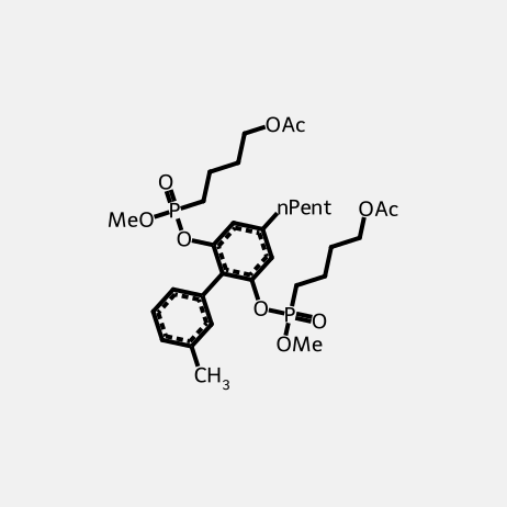 CCCCCc1cc(OP(=O)(CCCCOC(C)=O)OC)c(-c2cccc(C)c2)c(OP(=O)(CCCCOC(C)=O)OC)c1